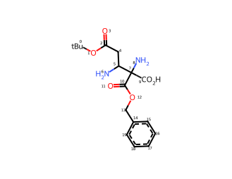 CC(C)(C)OC(=O)CC(N)C(N)(C(=O)O)C(=O)OCc1ccccc1